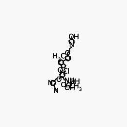 Cc1c(OCCCN2CCC(O)CC2)cccc1-c1cccc2c1CC[C@@H]2Oc1cc(OCc2cncc(C#N)c2)c(CN[C@H](C(=O)O)C(C)O)cc1Cl